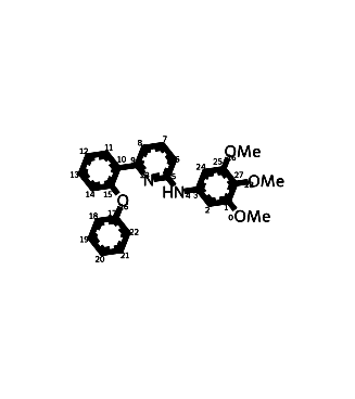 COc1cc(Nc2cccc(-c3ccccc3Oc3ccccc3)n2)cc(OC)c1OC